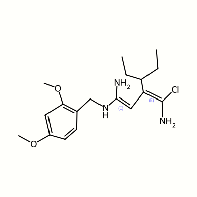 CCC(CC)C(/C=C(\N)NCc1ccc(OC)cc1OC)=C(/N)Cl